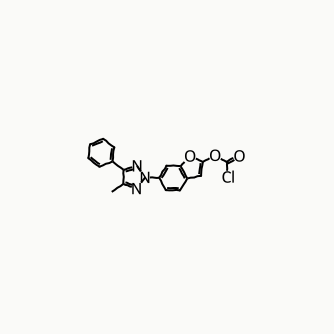 Cc1nn(-c2ccc3cc(OC(=O)Cl)oc3c2)nc1-c1ccccc1